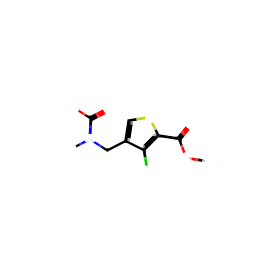 COC(=O)c1scc(CN(C)C(=O)O)c1Cl